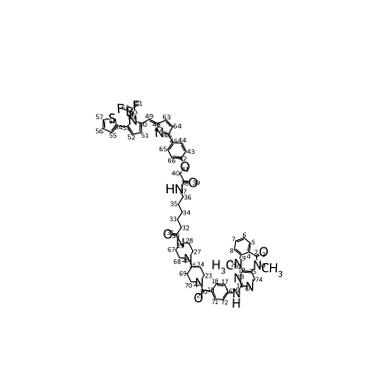 CN1C(=O)c2ccccc2N(C)c2nc(Nc3ccc(C(=O)N4CCC(N5CCN(C(=O)CCCCCNC(=O)COc6ccc(C7=N/C(=C\c8ccc(-c9cccs9)n8B(F)F)C=C7)cc6)CC5)CC4)cc3)ncc21